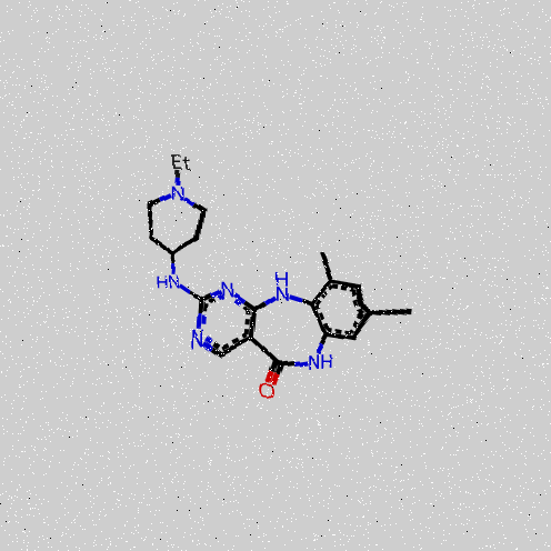 CCN1CCC(Nc2ncc3c(n2)Nc2c(C)cc(C)cc2NC3=O)CC1